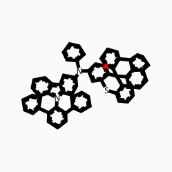 c1ccc(-c2cccc(-c3ccccc3)c2-n2c3ccccc3c3cc(N(c4ccccc4)c4ccc5c(c4)Sc4ccccc4C54c5ccccc5-c5cccc6cccc4c56)ccc32)cc1